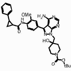 COc1cc(-c2nn(CC3(O)CCN(C(=O)OC(C)(C)C)CC3)c3ncnc(N)c23)ccc1NC(=O)C1CC1c1ccccc1